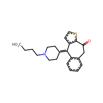 O=C(O)CCCN1CCC(=C2c3ccccc3CC(=O)c3sccc32)CC1